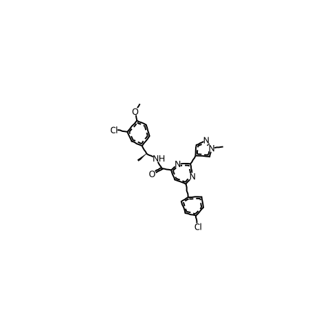 COc1ccc([C@H](C)NC(=O)c2cc(-c3ccc(Cl)cc3)nc(-c3cnn(C)c3)n2)cc1Cl